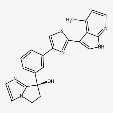 Cc1ccnc2[nH]cc(-c3nc(-c4cccc([C@]5(O)CCn6ccnc65)c4)cs3)c12